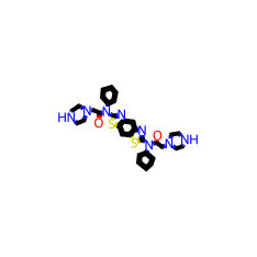 O=C(CN1CCNCC1)N(c1ccccc1)c1nc2cc3nc(N(C(=O)CN4CCNCC4)c4ccccc4)sc3cc2s1